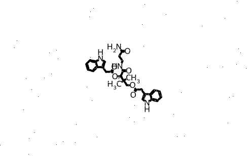 CC(C)(COC(=O)Cc1c[nH]c2ccccc12)[C@@H](OC(=O)Cc1c[nH]c2ccccc12)C(=O)NCCC(N)=O